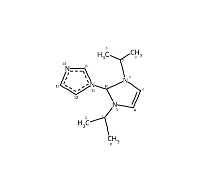 CC(C)N1C=CN(C(C)C)C1n1ccnc1